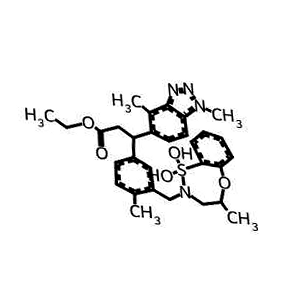 CCOC(=O)CC(c1ccc(C)c(CN2CC(C)Oc3ccccc3S2(O)O)c1)c1ccc2c(nnn2C)c1C